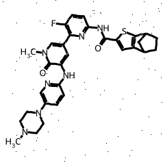 CN1CCN(c2ccc(Nc3cc(-c4nc(NC(=O)c5cc6c(s5)C5CCC6C5)ccc4F)cn(C)c3=O)nc2)CC1